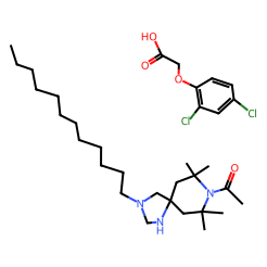 CCCCCCCCCCCCN1CNC2(C1)CC(C)(C)N(C(C)=O)C(C)(C)C2.O=C(O)COc1ccc(Cl)cc1Cl